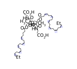 CC/C=C\C/C=C\C/C=C\C/C=C\C/C=C\C/C=C\CC(=O)OCC(C)(CO[C@@H](C(=O)NCCC(=O)O)C(C)(C)COC(=O)CCC/C=C\C/C=C\C/C=C\C/C=C\C/C=C\CC)[C@@H](O)C(=O)NCCC(=O)O